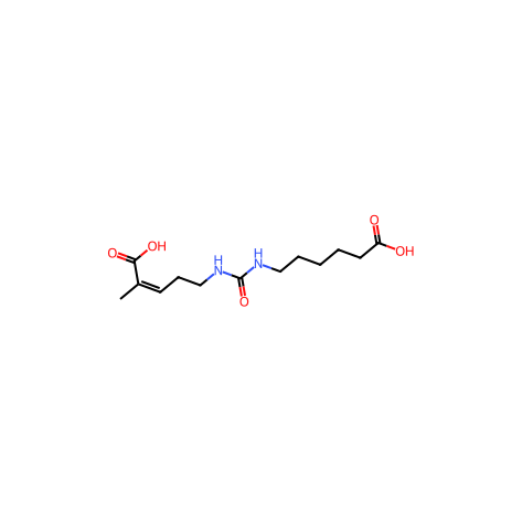 CC(=CCCNC(=O)NCCCCCC(=O)O)C(=O)O